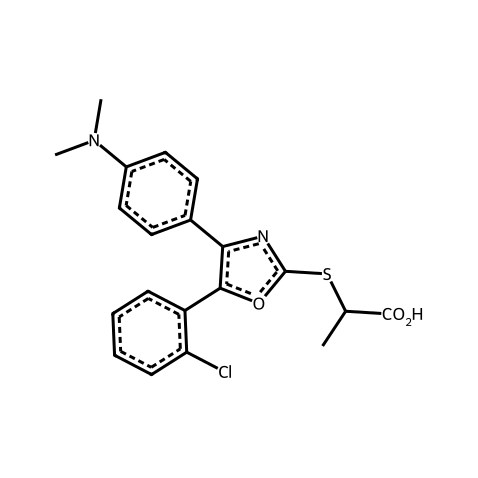 CC(Sc1nc(-c2ccc(N(C)C)cc2)c(-c2ccccc2Cl)o1)C(=O)O